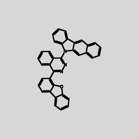 c1ccc2cc3c(cc2c1)c1ccccc1n3-c1nnc(-c2cccc3c2oc2ccccc23)c2ccccc12